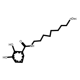 CCCCCCCCCCCCCCCCCCNC(=O)c1cccc(O)c1O